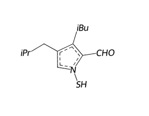 CCC(C)c1c(CC(C)C)cn(S)c1C=O